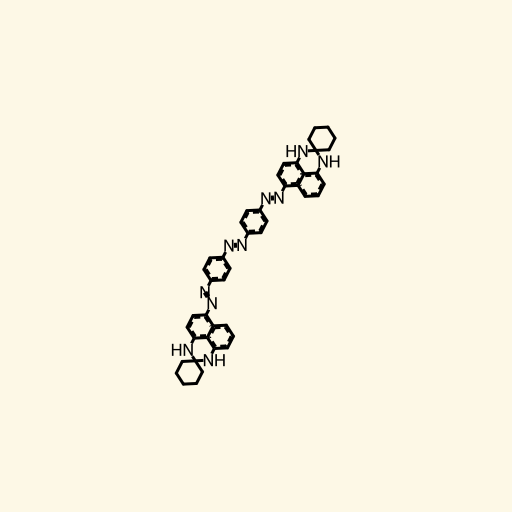 c1cc2c3c(ccc(N=Nc4ccc(N=Nc5ccc(N=Nc6ccc7c8c(cccc68)NC6(CCCCC6)N7)cc5)cc4)c3c1)NC1(CCCCC1)N2